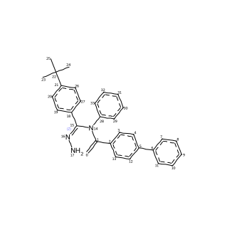 C=C(c1ccc(-c2ccccc2)cc1)N(/C(=N\N)c1ccc(C(C)(C)C)cc1)c1ccccc1